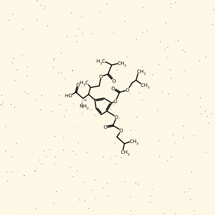 CC(C)COC(=O)Oc1ccc(C(C(C)COC(=O)C(C)C)[C@H](N)C(=O)O)cc1OC(=O)OCC(C)C